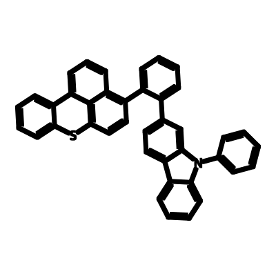 c1ccc(-n2c3ccccc3c3ccc(-c4ccccc4-c4ccc5c6c(cccc46)-c4ccccc4S5)cc32)cc1